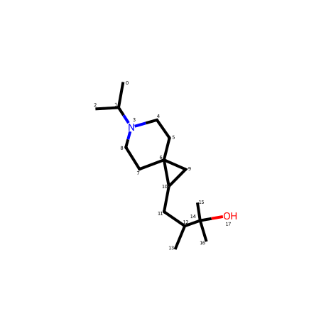 CC(C)N1CCC2(CC1)CC2CC(C)C(C)(C)O